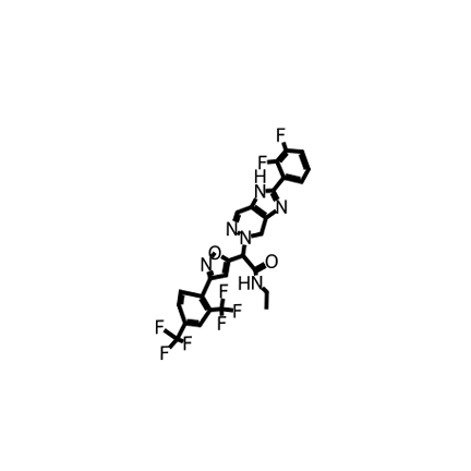 CCNC(=O)C(c1cc(-c2ccc(C(F)(F)F)cc2C(F)(F)F)no1)N1Cc2nc(-c3cccc(F)c3F)[nH]c2C=N1